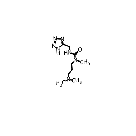 CN(C)CCCN(C)C(=O)NCc1nnn[nH]1